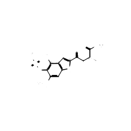 COC(=O)[C@@H](C)CC(=O)c1cc2c(F)c(OS(=O)(=O)C(F)(F)F)c(OC)cc2s1